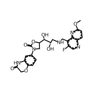 COc1ccc2ncc(F)c(CNC[C@@H](O)[C@H](O)C3CN(c4ccc5c(c4)NC(=O)CO5)C(=O)O3)c2n1